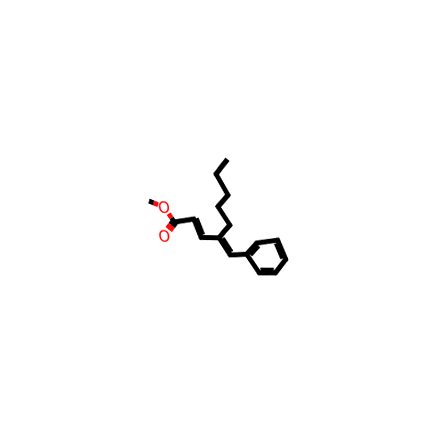 CCCCCC(/C=C/C(=O)OC)=C\c1ccccc1